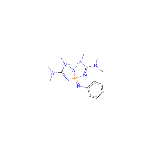 CN(C)C(=NP(N=C(N(C)C)N(C)C)(=Nc1ccccc1)N(C)C)N(C)C